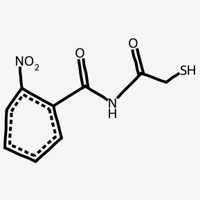 O=C(CS)NC(=O)c1ccccc1[N+](=O)[O-]